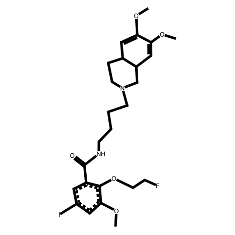 COC1=CC2CCN(CCCCNC(=O)c3cc(I)cc(OC)c3OCCF)CC2C=C1OC